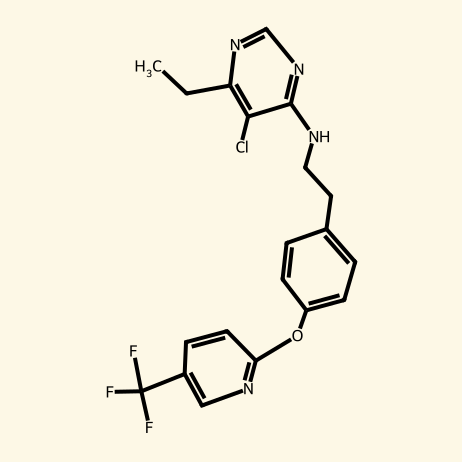 CCc1ncnc(NCCc2ccc(Oc3ccc(C(F)(F)F)cn3)cc2)c1Cl